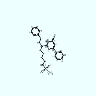 CS(=O)(=O)NCCCCN(CCc1ccccc1)c1nc(-c2ccncc2)cc(=O)[nH]1